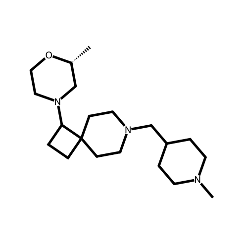 C[C@@H]1CN(C2CCC23CCN(CC2CCN(C)CC2)CC3)CCO1